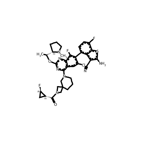 CC(Oc1nc(N2CCCC3(CN(C(=O)[C@@H]4C[C@H]4F)C3)C2)c2cc(Cl)c(-c3ccc(F)c4sc(N)c(C#N)c34)c(F)c2n1)[C@@H]1CCCN1C